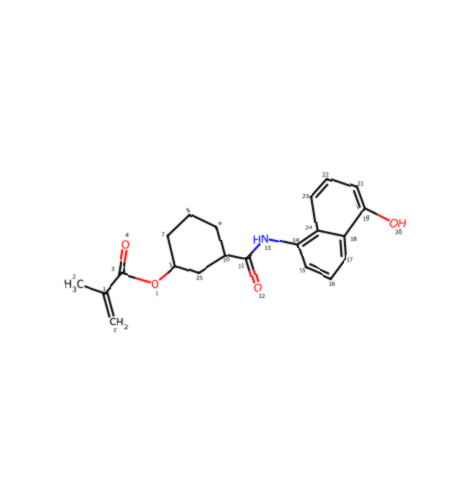 C=C(C)C(=O)OC1CCCC(C(=O)Nc2cccc3c(O)cccc23)C1